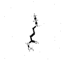 COC(=O)C=CCN=[N+]=[N-]